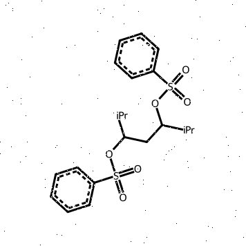 CC(C)C(CC(OS(=O)(=O)c1ccccc1)C(C)C)OS(=O)(=O)c1ccccc1